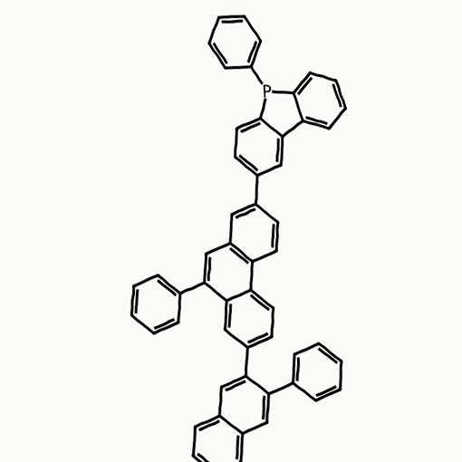 c1ccc(-c2cc3ccccc3cc2-c2ccc3c(c2)c(-c2ccccc2)cc2cc(-c4ccc5c(c4)c4ccccc4p5-c4ccccc4)ccc23)cc1